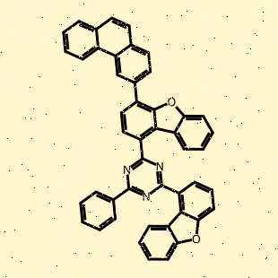 c1ccc(-c2nc(-c3cccc4oc5ccccc5c34)nc(-c3ccc(-c4ccc5ccc6ccccc6c5c4)c4oc5ccccc5c34)n2)cc1